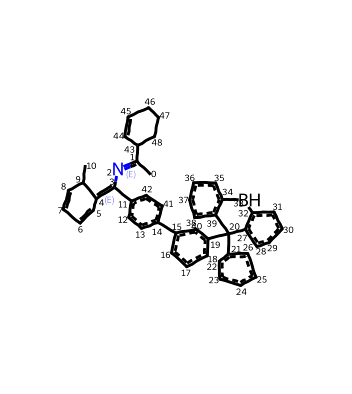 C/C(=N\C(=C1\C=CC=CC1C)c1ccc(-c2cccc(C3(c4ccccc4)c4ccccc4Bc4ccccc43)c2)cc1)C1C=CCCC1